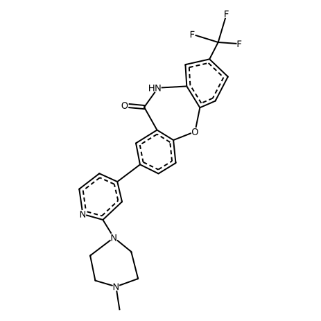 CN1CCN(c2cc(-c3ccc4c(c3)C(=O)Nc3cc(C(F)(F)F)ccc3O4)ccn2)CC1